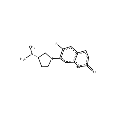 CN(C)[C@H]1CCN(c2cc3[nH]c(=O)ccc3cc2F)C1